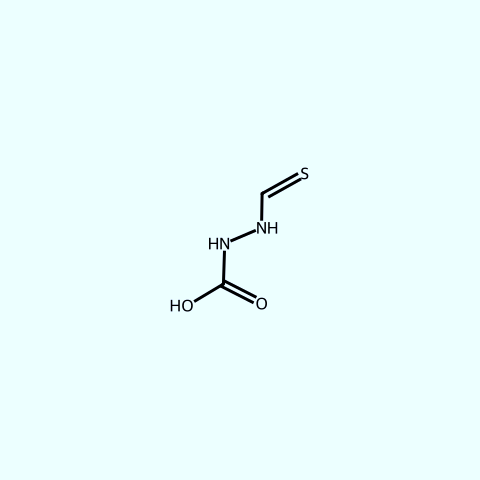 O=C(O)NNC=S